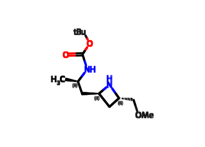 COC[C@@H]1C[C@@H](C[C@@H](C)NC(=O)OC(C)(C)C)N1